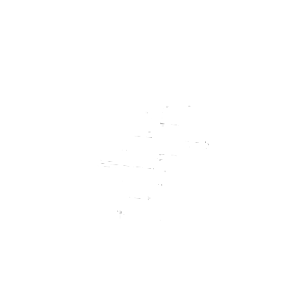 C#CC12C=C(C#N)C(=O)C=C1C1(C)C=C(C#N)C(=O)C(C)(C)C1CC2